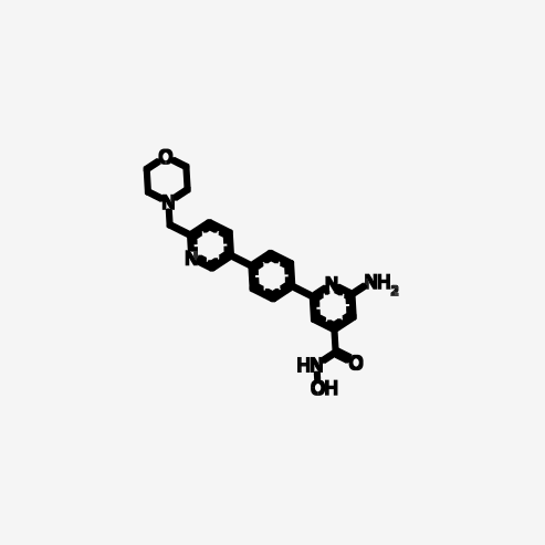 Nc1cc(C(=O)NO)cc(-c2ccc(-c3ccc(CN4CCOCC4)nc3)cc2)n1